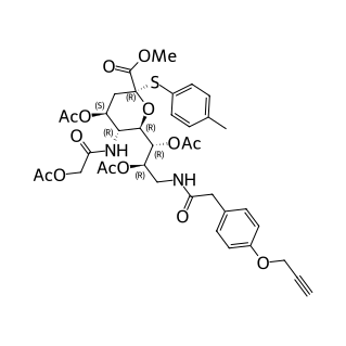 C#CCOc1ccc(CC(=O)NC[C@@H](OC(C)=O)[C@@H](OC(C)=O)[C@@H]2O[C@](Sc3ccc(C)cc3)(C(=O)OC)C[C@H](OC(C)=O)[C@H]2NC(=O)COC(C)=O)cc1